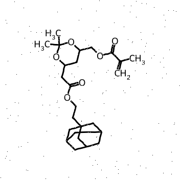 C=C(C)C(=O)OCC1CC(CC(=O)OCCC23CC4CC(CC(C4)C2)C3)OC(C)(C)O1